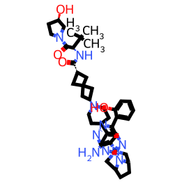 CC(C)(C)[C@H](NC(=O)[C@H]1CC2(C1)C[C@H](N1CCC(c3cnc(N4C5CCC4CN(c4cc(-c6ccccc6O)nnc4N)C5)nc3)CC1)C2)C(=O)N1CC[C@@H](O)C1